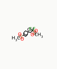 CC1(CC(F)(F)S(C)(=O)=O)CC2CC1CC2S(C)(=O)=O